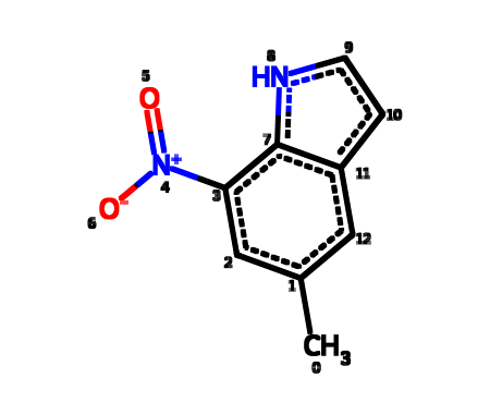 Cc1cc([N+](=O)[O-])c2[nH]ccc2c1